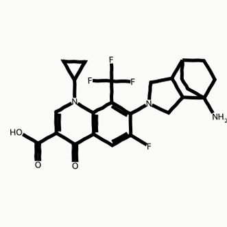 NC12CCC(CC1)C1CN(c3c(F)cc4c(=O)c(C(=O)O)cn(C5CC5)c4c3C(F)(F)F)CC12